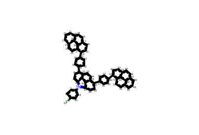 Fc1ccc(-n2c3ccc(-c4ccc(-c5ccc6ccc7cccc8ccc5c6c78)cc4)c4ccc5c(-c6ccc(-c7ccc8ccc9cccc%10ccc7c8c9%10)cc6)ccc2c5c43)cc1